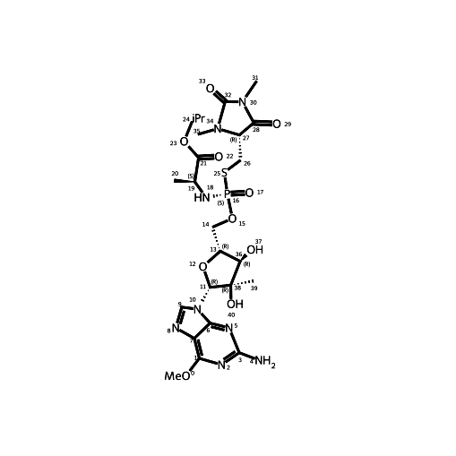 COc1nc(N)nc2c1ncn2[C@@H]1O[C@H](CO[P@@](=O)(N[C@@H](C)C(=O)OC(C)C)SC[C@H]2C(=O)N(C)C(=O)N2C)[C@@H](O)[C@@]1(C)O